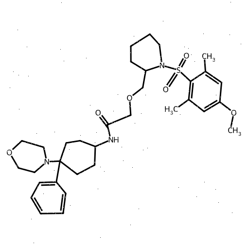 COc1cc(C)c(S(=O)(=O)N2CCCCC2COCC(=O)NC2CCC(c3ccccc3)(N3CCOCC3)CC2)c(C)c1